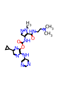 CN(C)CCNC(=O)c1c(NC(=O)Oc2nc(C3CC3)cnc2Nc2cncnc2)cnn1C